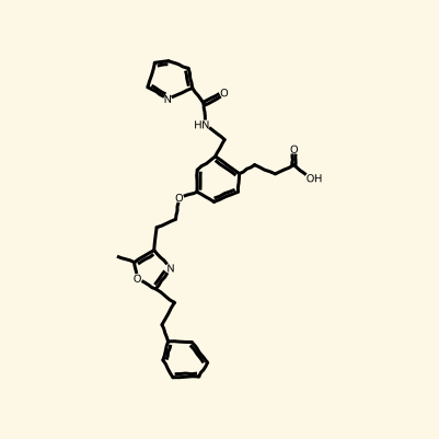 Cc1oc(CCc2ccccc2)nc1CCOc1ccc(CCC(=O)O)c(CNC(=O)c2ccccn2)c1